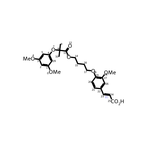 COc1cc(OC)cc(OC(C)(C)C(=O)OCCCCOc2ccc(/C=C/C(=O)O)cc2OC)c1